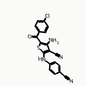 N#Cc1ccc(Nc2sc(C(=O)c3ccc(Cl)cc3)c(N)c2C#N)cc1